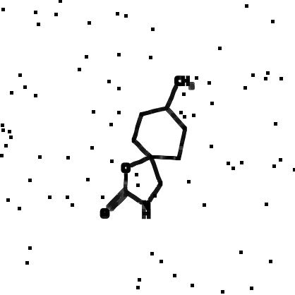 CC1CCC2(CC1)CNC(=O)O2